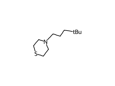 CC(C)(C)CCCN1CCSCC1